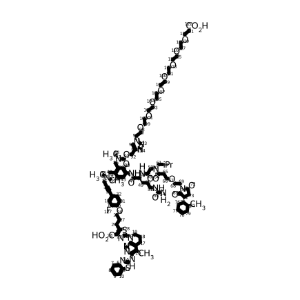 Cc1c(Nc2nc3ccccc3s2)nnc2c1CCCN2c1nc(C(=O)O)c(CCCOc2ccc(C#CC[N+](C)(C)Cc3ccc(NC(=O)[C@H](CCCNC(N)=O)NC(=O)CN(CC(C)C)C(=O)CCOCCN4C(=O)CC([C@H]5CC=CC[C@@H]5C)C4=O)cc3CN(C)C(=O)OCc3cn(CCOCCOCCOCCOCCOCCOCCOCCOCCC(=O)O)nn3)cc2F)s1